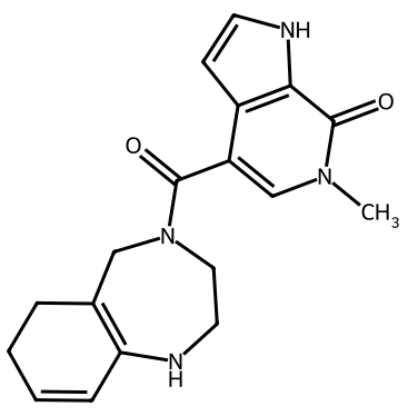 Cn1cc(C(=O)N2CCNC3=C(CCC=C3)C2)c2cc[nH]c2c1=O